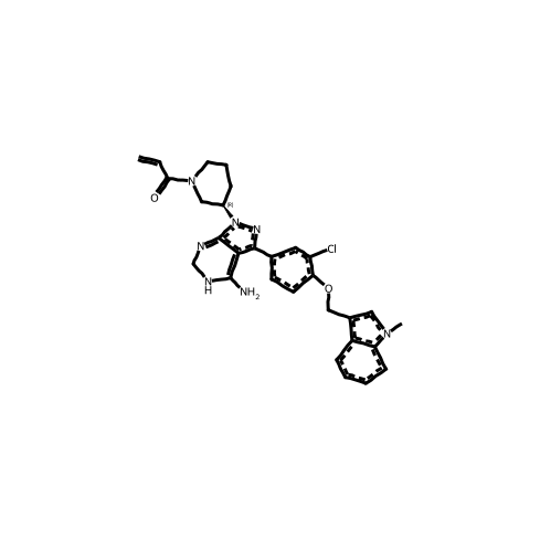 C=CC(=O)N1CCC[C@@H](n2nc(-c3ccc(OCc4cn(C)c5ccccc45)c(Cl)c3)c3c2=NCNC=3N)C1